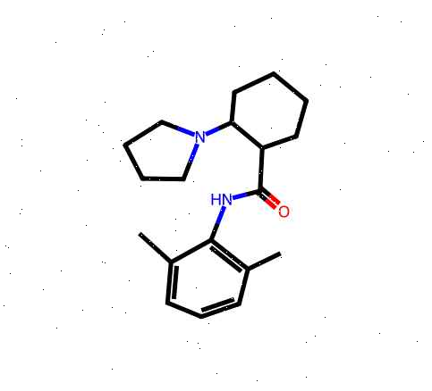 Cc1cccc(C)c1NC(=O)C1CCCCC1N1CCCC1